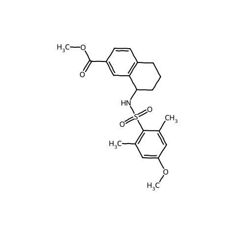 COC(=O)c1ccc2c(c1)C(NS(=O)(=O)c1c(C)cc(OC)cc1C)CCC2